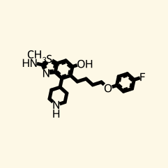 CNc1nc2c(C3CCNCC3)c(CCCCOc3ccc(F)cc3)c(O)cc2s1